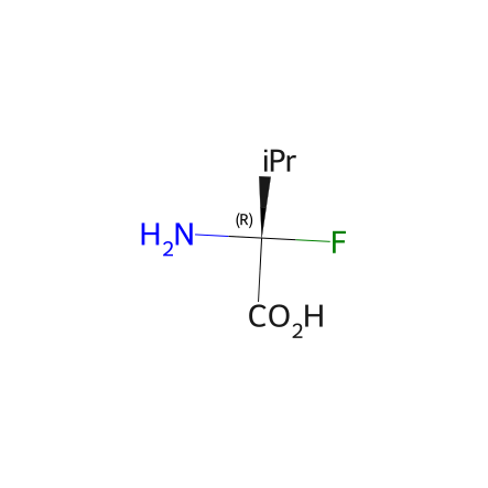 CC(C)[C@@](N)(F)C(=O)O